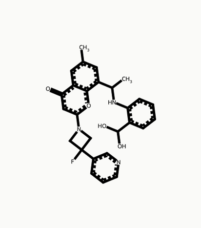 Cc1cc(C(C)Nc2ccccc2C(O)O)c2oc(N3CC(F)(c4cccnc4)C3)cc(=O)c2c1